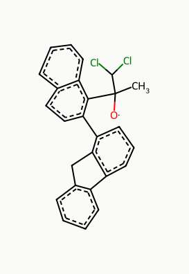 CC([O])(c1c(-c2cccc3c2Cc2ccccc2-3)ccc2ccccc12)C(Cl)Cl